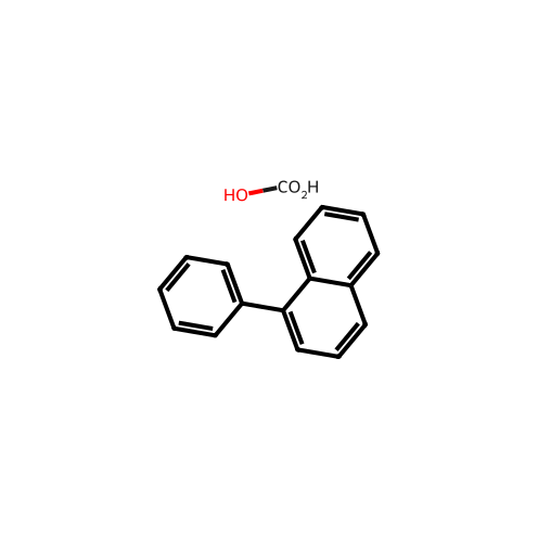 O=C(O)O.c1ccc(-c2cccc3ccccc23)cc1